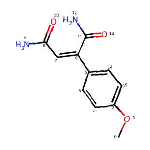 COc1ccc(/C(=C/C(N)=O)C(N)=O)cc1